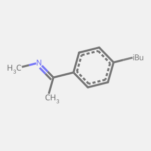 CCC(C)c1ccc(/C(C)=N/C)cc1